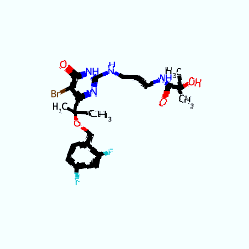 CC(C)(O)C(=O)NCCCNc1nc(C(C)(C)OCc2ccc(F)cc2F)c(Br)c(=O)[nH]1